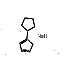 C1=CCC(C2CCCC2)=C1.[NaH]